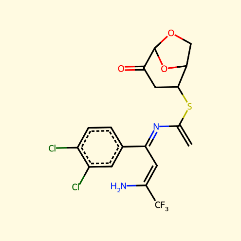 C=C(/N=C(\C=C(/N)C(F)(F)F)c1ccc(Cl)c(Cl)c1)SC1CC(=O)C2OCC1O2